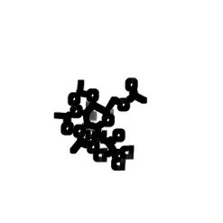 CC(=O)OC[C@H]1OC(NC(=O)C(Cl)(Cl)Cl)[C@H](OC(C)=O)[C@@H](OC(C)=O)[C@H]1OC(C)=O